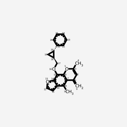 C=C1C=C(C)Oc2c1c(C)c1ccoc1c2OC[C@H]1C[C@@H]1c1ccccc1